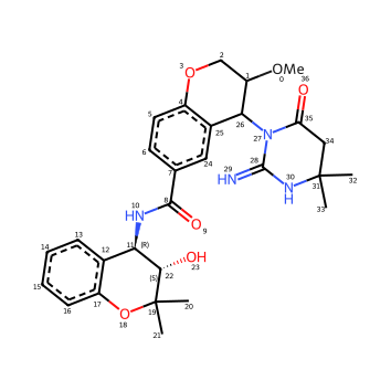 COC1COc2ccc(C(=O)N[C@@H]3c4ccccc4OC(C)(C)[C@H]3O)cc2C1N1C(=N)NC(C)(C)CC1=O